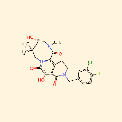 CN1C[C@@H](O)C(C)(C)Cn2c(c3c(c(O)c2=O)C(=O)N(Cc2ccc(F)c(Cl)c2)CC3)C1=O